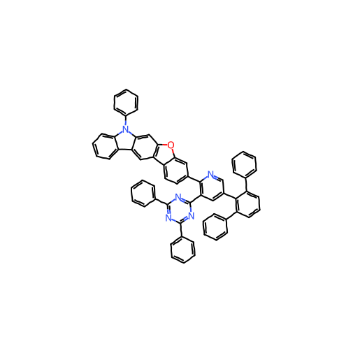 c1ccc(-c2nc(-c3ccccc3)nc(-c3cc(-c4c(-c5ccccc5)cccc4-c4ccccc4)cnc3-c3ccc4c(c3)oc3cc5c(cc34)c3ccccc3n5-c3ccccc3)n2)cc1